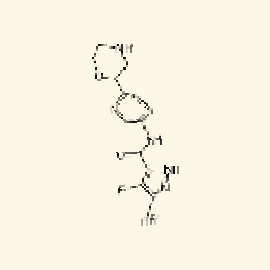 CCCc1n[nH]c(C(=O)Nc2ccc(C3CNCCO3)nc2)c1F